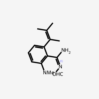 CNc1cccc(C(C)=C(C)C)c1/C(N)=N\C=O